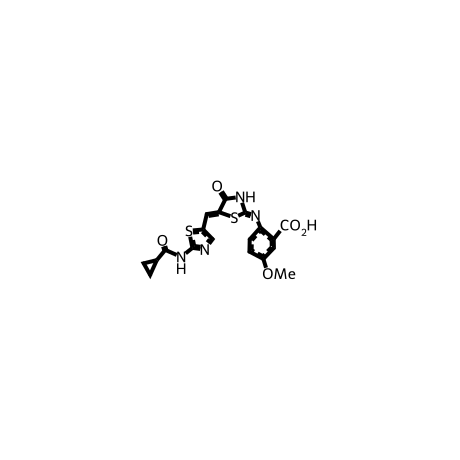 COc1ccc(/N=C2/NC(=O)/C(=C/c3cnc(NC(=O)C4CC4)s3)S2)c(C(=O)O)c1